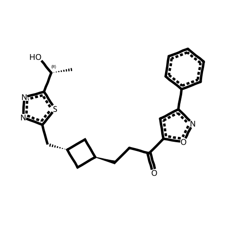 C[C@@H](O)c1nnc(C[C@H]2C[C@H](CCC(=O)c3cc(-c4ccccc4)no3)C2)s1